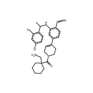 CC(Nc1cc(C2=CCN(C(=O)C3(CN)CCCCC3)CC2)ccc1C=N)c1ccc(Cl)cc1Cl